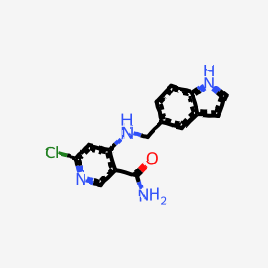 NC(=O)c1cnc(Cl)cc1NCc1ccc2[nH]ccc2c1